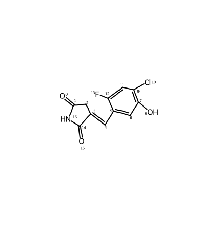 O=C1CC(=Cc2cc(O)c(Cl)cc2F)C(=O)N1